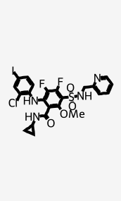 COc1c(C(=O)NC2CC2)c(Nc2ccc(I)cc2Cl)c(F)c(F)c1S(=O)(=O)NCc1ccccn1